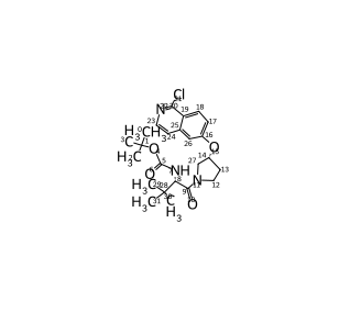 CC(C)(C)OC(=O)N[C@H](C(=O)N1CC[C@@H](Oc2ccc3c(Cl)nccc3c2)C1)C(C)(C)C